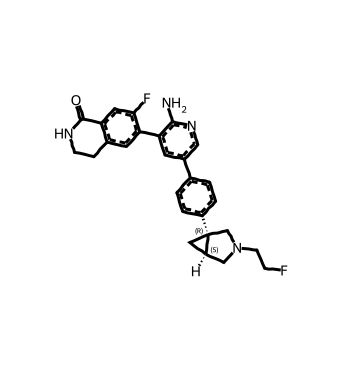 Nc1ncc(-c2ccc([C@@]34C[C@@H]3CN(CCF)C4)cc2)cc1-c1cc2c(cc1F)C(=O)NCC2